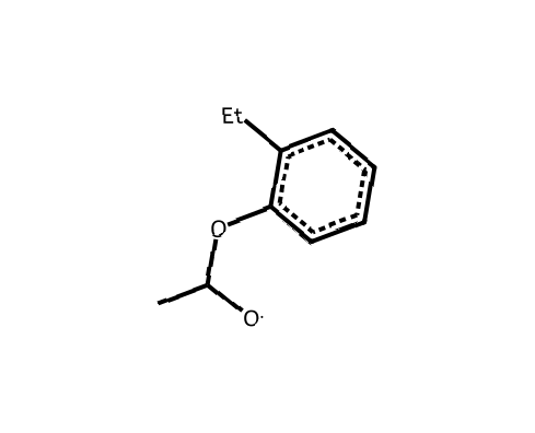 CCc1ccccc1OC(C)[O]